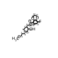 COCCCN1CC[C@@H](CNC(=O)c2ccc(F)c3c2OCCCO3)[C@H](O)C1